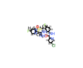 CN[SH]1(=O)C[C@@](C)(c2cc(NC(=O)c3ccc(Cl)cn3)ccc2F)NC(=N)[C@@]1(C)c1ccc(F)cc1